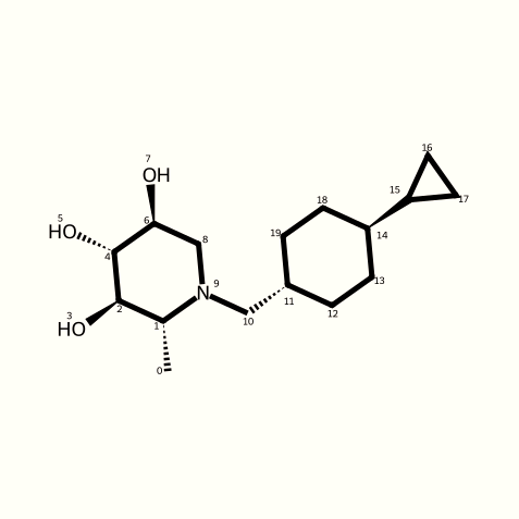 C[C@@H]1[C@@H](O)[C@H](O)[C@@H](O)CN1C[C@H]1CC[C@H](C2CC2)CC1